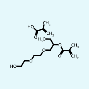 C=C(C)C(=O)O.C=C(C)C(=O)OC(CC)COCCOCCO